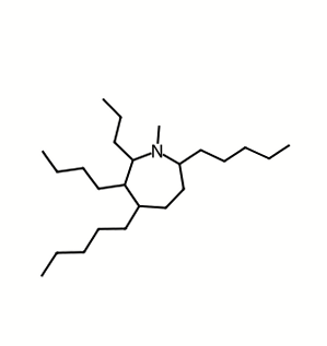 CCCCCC1CCC(CCCCC)N(C)C(CCC)C1CCCC